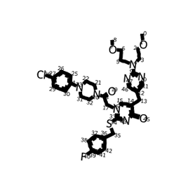 COCCN(CCOC)c1ncc(Cc2cn(CC(=O)N3CCN(c4ccc(Cl)cc4)CC3)c(SCc3ccc(F)cc3)nc2=O)cn1